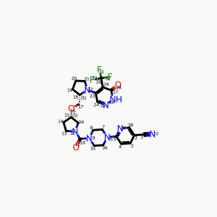 N#Cc1ccc(N2CCN(C(=O)N3CC[C@H](OC[C@@H]4CCCN4c4cn[nH]c(=O)c4C(F)(F)F)C3)CC2)nc1